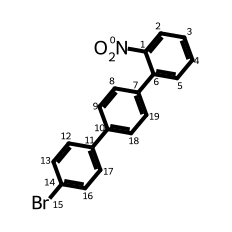 O=[N+]([O-])c1ccccc1-c1ccc(-c2ccc(Br)cc2)cc1